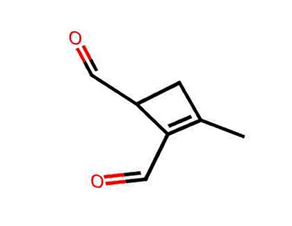 CC1=C(C=O)C(C=O)C1